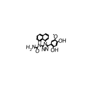 COc1cc(-c2nnc(NC(N)=O)n2-c2cccc3ccccc23)c(O)cc1O